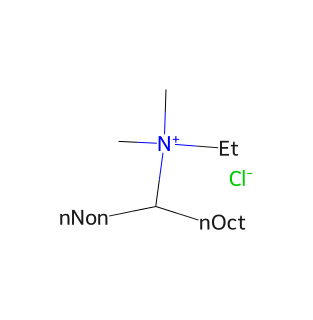 CCCCCCCCCC(CCCCCCCC)[N+](C)(C)CC.[Cl-]